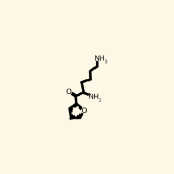 NCCCCC(N)C(=O)c1ccco1